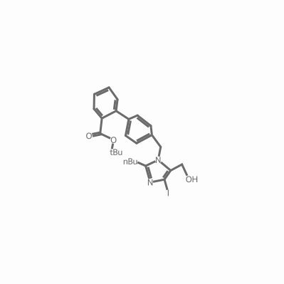 CCCCc1nc(I)c(CO)n1Cc1ccc(-c2ccccc2C(=O)OC(C)(C)C)cc1